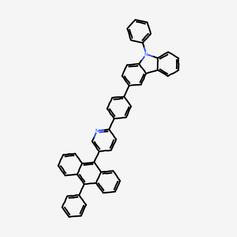 c1ccc(-c2c3ccccc3c(-c3ccc(-c4ccc(-c5ccc6c(c5)c5ccccc5n6-c5ccccc5)cc4)nc3)c3ccccc23)cc1